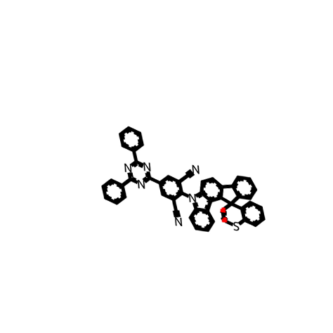 N#Cc1cc(-c2nc(-c3ccccc3)nc(-c3ccccc3)n2)cc(C#N)c1-n1c2ccccc2c2c3c(ccc21)-c1ccccc1C31c2ccccc2Sc2ccccc21